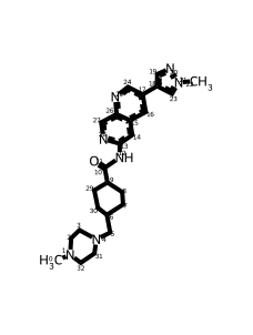 CN1CCN(CC2CCC(C(=O)Nc3cc4cc(-c5cnn(C)c5)cnc4cn3)CC2)CC1